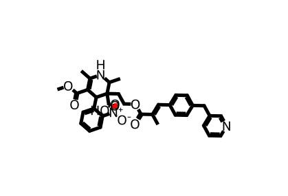 COC(=O)C1=C(C)NC(C)C(CCOC(=O)C(C)=Cc2ccc(Cc3cccnc3)cc2)(C(=O)O)C1c1ccccc1[N+](=O)[O-]